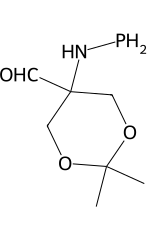 CC1(C)OCC(C=O)(NP)CO1